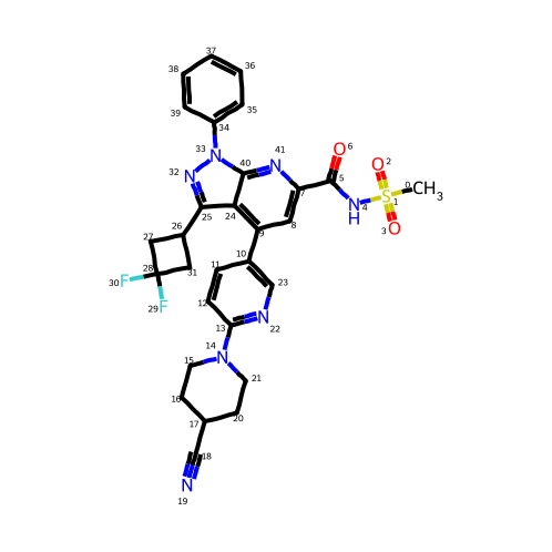 CS(=O)(=O)NC(=O)c1cc(-c2ccc(N3CCC(C#N)CC3)nc2)c2c(C3CC(F)(F)C3)nn(-c3ccccc3)c2n1